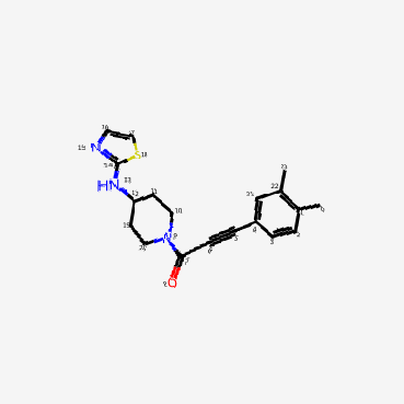 Cc1ccc(C#CC(=O)N2CCC(Nc3nccs3)CC2)cc1C